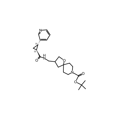 CC(C)(C)OC(=O)N1CCC2(CC1)CC(CNC(=O)[C@H]1C[C@@H]1c1cccnc1)CO2